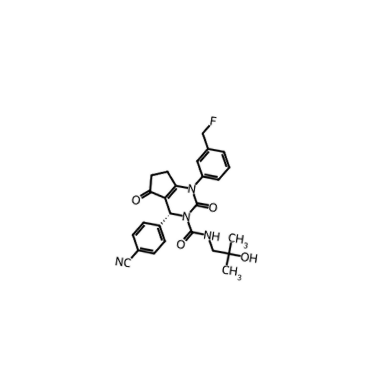 CC(C)(O)CNC(=O)N1C(=O)N(c2cccc(CF)c2)C2=C(C(=O)CC2)[C@H]1c1ccc(C#N)cc1